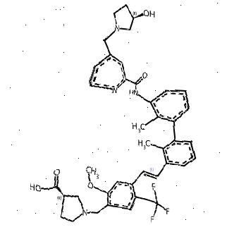 COc1cc(/C=C/c2cccc(-c3cccc(NC(=O)c4cc(CN5CC[C@@H](O)C5)ccn4)c3C)c2C)c(C(F)(F)F)cc1CN1CC[C@@H](C(=O)O)C1